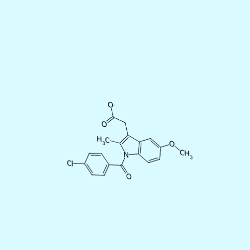 COc1ccc2c(c1)c(CC([O])=O)c(C)n2C(=O)c1ccc(Cl)cc1